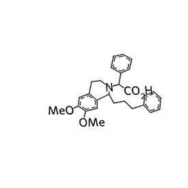 COc1cc2c(cc1OC)C(CCCc1ccccc1)N(C(C(=O)O)c1ccccc1)CC2